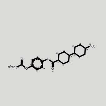 CCCCCC(=O)Oc1ccc(OC(=O)C2CCC(C3CCC(CCCC)CC3)CC2)cc1